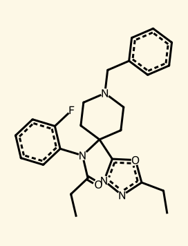 CCC(=O)N(c1ccccc1F)C1(c2nnc(CC)o2)CCN(Cc2ccccc2)CC1